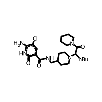 CCCCC(C(=O)N1CCCCC1)N1CCC(CNC(=O)c2cc(Cl)c(N)[nH]c2=O)CC1